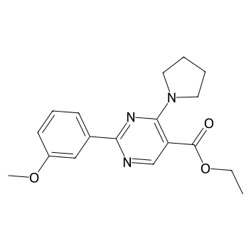 CCOC(=O)c1cnc(-c2cccc(OC)c2)nc1N1CCCC1